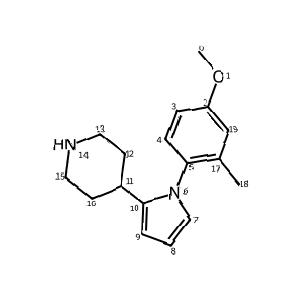 COc1ccc(-n2cccc2C2CCNCC2)c(C)c1